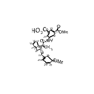 COC(=O)c1cc(NC(=O)N(C)N2c3ccccc3CC2OCc2cccc(OC)c2)cc(C(=O)O)c1